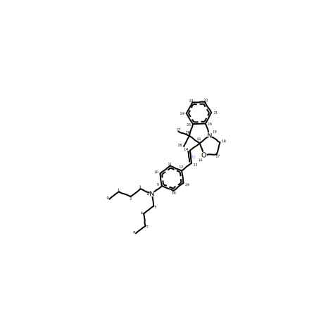 CCCCN(CCCC)c1ccc(/C=C/C23OCCN2c2ccccc2C3(C)C)cc1